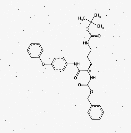 CC(C)(C)OC(=O)NCCC[C@@H](NC(=O)OCc1ccccc1)C(=O)Nc1ccc(Oc2ccccc2)cc1